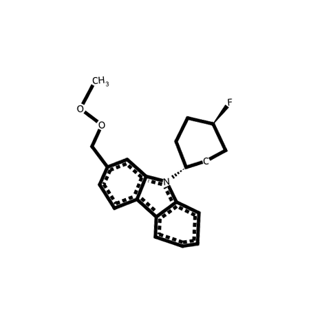 COOCc1ccc2c3ccccc3n([C@H]3CC[C@H](F)CC3)c2c1